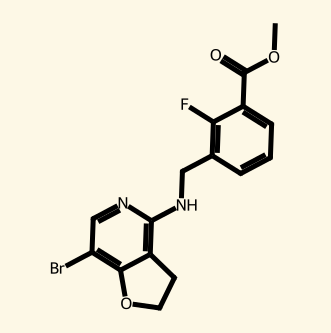 COC(=O)c1cccc(CNc2ncc(Br)c3c2CCO3)c1F